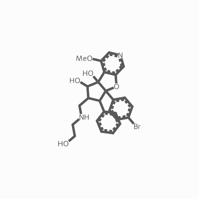 COc1cncc2c1C1(O)C(O)C(CNCCO)C(c3ccccc3)C1(c1ccc(Br)cc1)O2